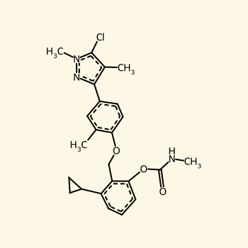 CNC(=O)Oc1cccc(C2CC2)c1COc1ccc(-c2nn(C)c(Cl)c2C)cc1C